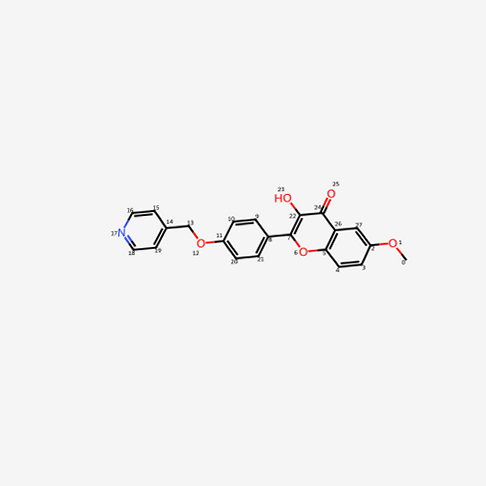 COc1ccc2oc(-c3ccc(OCc4ccncc4)cc3)c(O)c(=O)c2c1